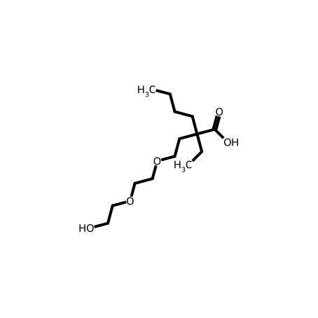 CCCCC(CC)(CCOCCOCCO)C(=O)O